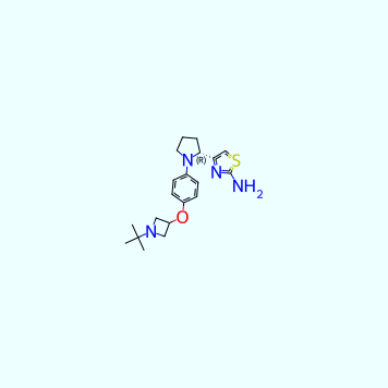 CC(C)(C)N1CC(Oc2ccc(N3CCC[C@@H]3c3csc(N)n3)cc2)C1